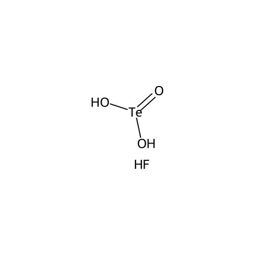 F.O=[Te](O)O